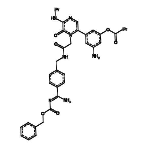 CC(C)Nc1ncc(-c2cc(N)cc(OC(=O)C(C)C)c2)n(CC(=O)NCc2ccc(/C(N)=N/C(=O)OCc3ccccc3)cc2)c1=O